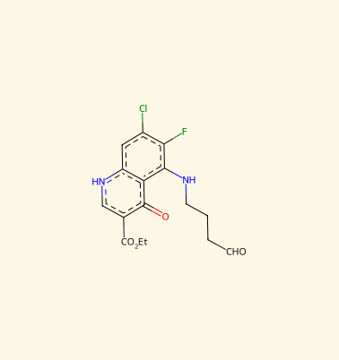 CCOC(=O)c1c[nH]c2cc(Cl)c(F)c(NCCCC=O)c2c1=O